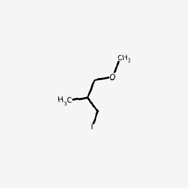 COCC(C)CI